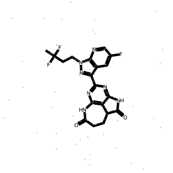 CC(F)(F)CCn1nc(-c2nc3c4c(n2)NC(=O)[C@@]4(C)CCC(=O)N3)c2cc(F)cnc21